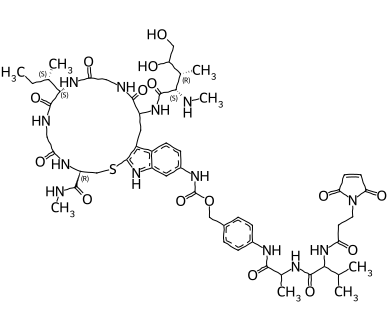 CC[C@H](C)[C@@H]1NC(=O)CNC(=O)C(NC(=O)[C@@H](NC)[C@@H](C)C(O)CO)Cc2c([nH]c3cc(NC(=O)OCc4ccc(NC(=O)C(C)NC(=O)C(NC(=O)CCN5C(=O)C=CC5=O)C(C)C)cc4)ccc23)SC[C@@H](C(=O)NC)NC(=O)CNC1=O